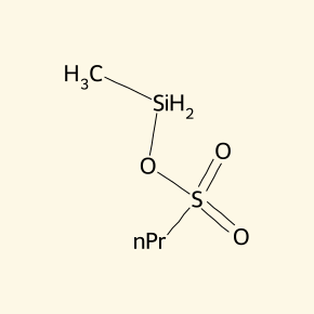 CCCS(=O)(=O)O[SiH2]C